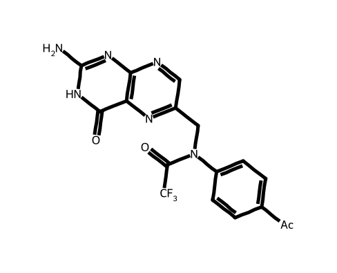 CC(=O)c1ccc(N(Cc2cnc3nc(N)[nH]c(=O)c3n2)C(=O)C(F)(F)F)cc1